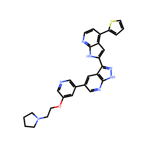 c1csc(-c2ccnc3[nH]c(-c4n[nH]c5ncc(-c6cncc(OCCN7CCCC7)c6)cc45)cc23)c1